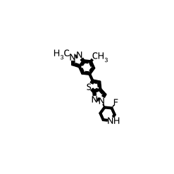 Cc1cc(-c2cc3cn([C@@H]4CCNC[C@H]4F)nc3s2)cc2cn(C)nc12